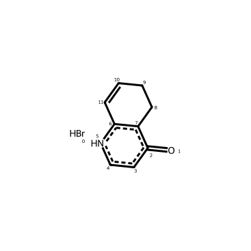 Br.O=c1cc[nH]c2c1CCC=C2